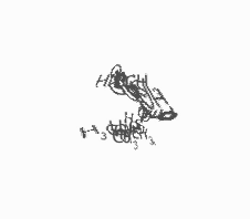 CC(C)OC(=O)NCC(C)(C)C(=O)SCCOP(=O)(NCc1ccccc1)OC[C@H]1O[C@@H](n2ccc(=O)[nH]c2=O)[C@](C)(Cl)[C@@H]1O